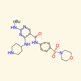 CCCCNc1ncc(C(=O)Nc2ccc(S(=O)(=O)N3CCOCC3)cc2)c(NC2CCNCC2)n1